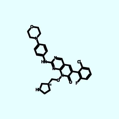 O=c1c(-c2c(F)cccc2Cl)cc2cnc(Nc3ccc(N4CCOCC4)cc3)nc2n1OC[C@H]1CCNC1